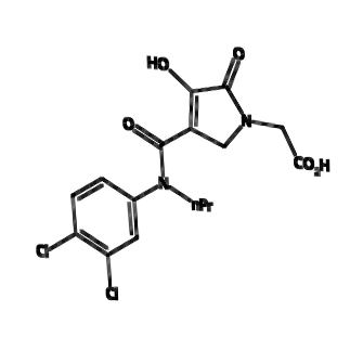 CCCN(C(=O)C1=C(O)C(=O)N(CC(=O)O)C1)c1ccc(Cl)c(Cl)c1